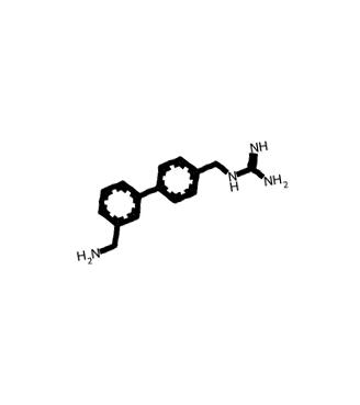 N=C(N)NCc1ccc(-c2cccc(CN)c2)cc1